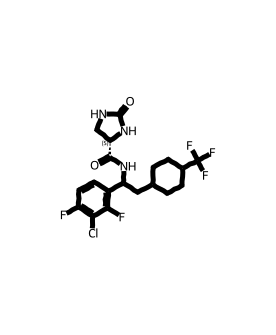 O=C1NC[C@@H](C(=O)NC(CC2CCC(C(F)(F)F)CC2)c2ccc(F)c(Cl)c2F)N1